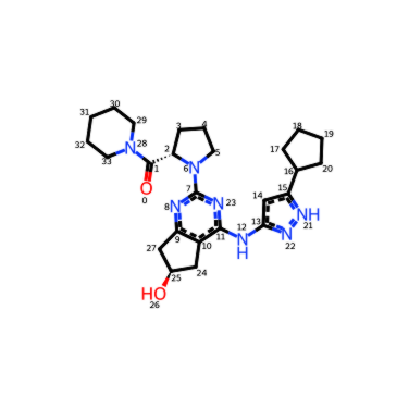 O=C([C@@H]1CCCN1c1nc2c(c(Nc3cc(C4CCCC4)[nH]n3)n1)C[C@@H](O)C2)N1CCCCC1